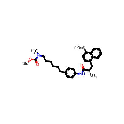 CCCCCc1ccc(C[C@H](C)C(=O)Nc2ccc(CCCCCCN(C)C(=O)OC(C)(C)C)cc2)c2ccccc12